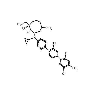 CC[C@]1(C)CCCC(C)C[C@H](N(c2cnc(-c3ccc(-c4nc(=O)n(C)cc4F)cc3O)nn2)C2CC2)[C@@H]1F